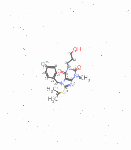 CC(C)Sc1nc2c(c(=O)n(CCCO)c(=O)n2C)n1Cc1ccc(Cl)cc1